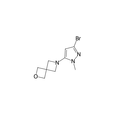 Cn1nc(Br)cc1N1CC2(COC2)C1